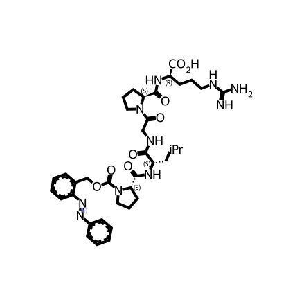 CC(C)C[C@H](NC(=O)[C@@H]1CCCN1C(=O)OCc1ccccc1/N=N/c1ccccc1)C(=O)NCC(=O)N1CCC[C@H]1C(=O)N[C@H](CCCNC(=N)N)C(=O)O